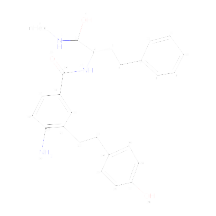 CCCCCCNC(O)[C@H](CCc1ccccc1)NC(=O)c1ccc(N)c(CCc2ccc(O)cc2)c1